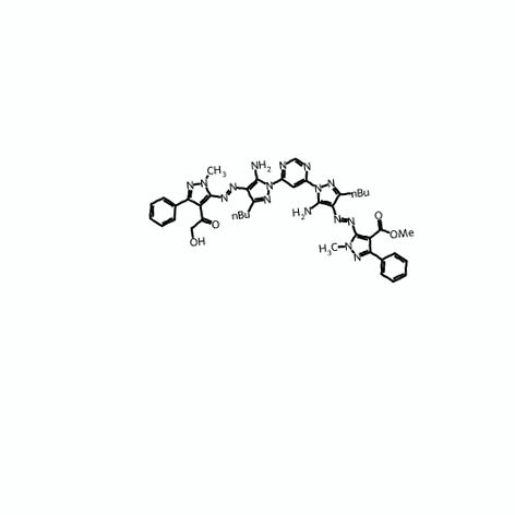 CCCCc1nn(-c2cc(-n3nc(CCCC)c(/N=N/c4c(C(=O)OC)c(-c5ccccc5)nn4C)c3N)ncn2)c(N)c1/N=N/c1c(C(=O)CO)c(-c2ccccc2)nn1C